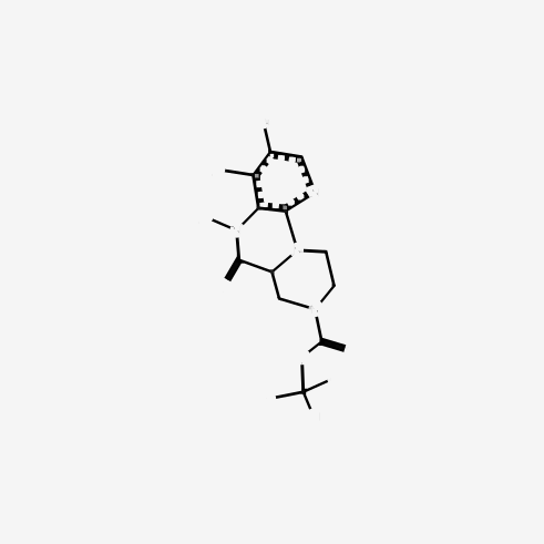 Cc1c(Br)cnc2c1N(C)C(=O)C1CN(C(=O)OC(C)(C)C)CCN21